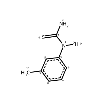 [2H]N(C(N)=S)c1cccc(C)c1